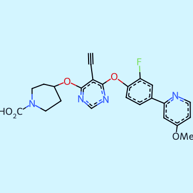 C#Cc1c(Oc2ccc(-c3cc(OC)ccn3)cc2F)ncnc1OC1CCN(C(=O)O)CC1